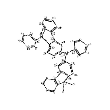 CC1(C)C2=C(CCC=C2)c2cc(N(c3ccccc3)c3ccc4c(c3)c3ccccc3n4-c3ccccc3)ccc21